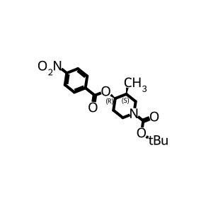 C[C@H]1CN(C(=O)OC(C)(C)C)CC[C@H]1OC(=O)c1ccc([N+](=O)[O-])cc1